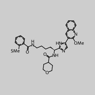 COc1nc2ccccc2cc1-c1cnc([C@H](CCCCNC(=O)c2ccccc2SC)NC(=O)C2CCOCC2)[nH]1